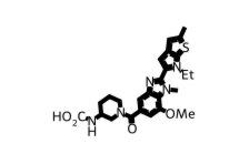 CCn1c(-c2nc3cc(C(=O)N4CCCC(NC(=O)O)C4)cc(OC)c3n2C)cc2cc(C)sc21